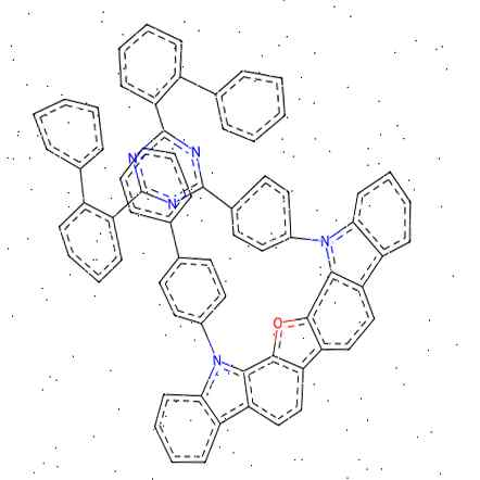 c1ccc(-c2ccc(-n3c4ccccc4c4ccc5c6ccc7c8ccccc8n(-c8ccc(-c9nc(-c%10ccccc%10-c%10ccccc%10)nc(-c%10ccccc%10-c%10ccccc%10)n9)cc8)c7c6oc5c43)cc2)cc1